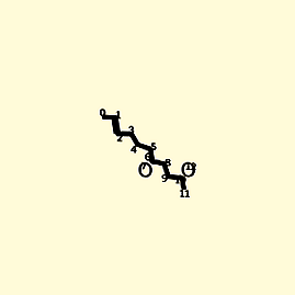 CC=CCCCC(=O)CCC(C)=O